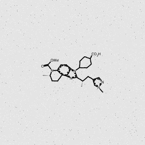 COC(=O)N1c2ccc3c(nc([C@@H](C)Cc4cnn(C)c4)n3C3CCC(C(=O)O)CC3)c2CC[C@@H]1C